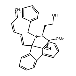 C=C/C=C\C=C\C1(N(Cc2ccccc2)[C@@H](CCO)C(O)OC)c2ccccc2-c2ccccc21